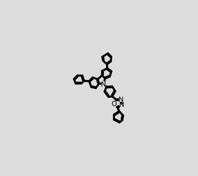 c1ccc(-c2ccc3c(c2)c2cc(-c4ccccc4)ccc2n3-c2ccc(-c3nnc(-c4ccccc4)o3)cc2)cc1